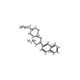 CCCCCN1CCN(CC(CN)c2ccc3ccccc3c2)CC1